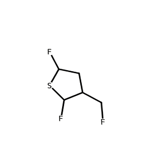 FCC1CC(F)SC1F